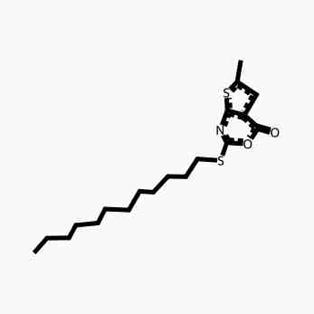 CCCCCCCCCCCCSc1nc2sc(C)cc2c(=O)o1